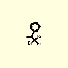 C=C(c1ccccc1)C(Br)(Br)Br